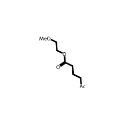 COCCOC(=O)CCCC(C)=O